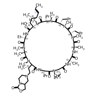 C/C=C/C[C@@H](C)[C@@H](O)[C@H]1C(=O)N[C@@H](CC)C(=O)N(C)[C@H](C)C(=O)N(C)C([C@@H](C)CN2CCN3C(=O)OCC3C2)C(=O)N[C@@H](C(C)C)C(=O)N(C)[C@@H](CC(C)C)C(=O)N[C@@H](C)C(=O)N[C@H](C)C(=O)N(C)[C@@H](CC(C)C)C(=O)N(C)[C@@H](CC(C)C)C(=O)N(C)[C@@H](C(C)C)C(=O)N1C